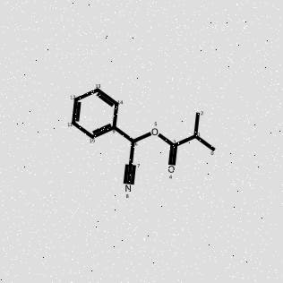 CC(C)C(=O)OC(C#N)c1ccccc1